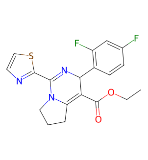 CCOC(=O)C1=C2CCCN2C(c2nccs2)=NC1c1ccc(F)cc1F